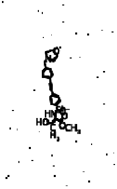 COC(=O)[C@@H](N[S+]([O-])c1ccc(C#Cc2ccc(CN3CCOCC3)cc2)cc1)[C@@H](C)O